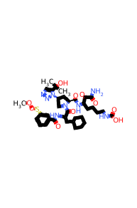 COOSc1cccc(C(=O)NC(CC2CCCCC2)C(=O)N2C[C@@H](n3nncc3C(C)(C)O)C[C@H]2C(=O)NC(CCCCNC(=O)O)C(=O)C(N)=O)c1